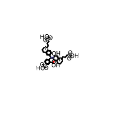 O=C(O)c1cc(S(=O)(=O)O)ccc1/C(=C1\C=C2CCCN(CCCS(=O)(=O)O)C2=CC1)c1cc2c(cc1O)N(CCCS(=O)(=O)O)CCC2